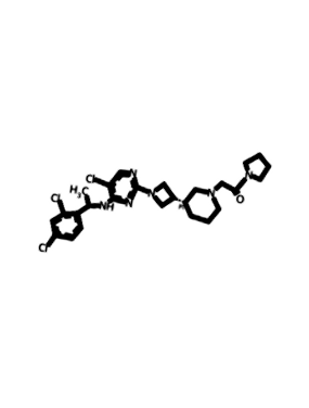 CC(Nc1nc(N2CC([C@H]3CCCN(CC(=O)N4CCCC4)C3)C2)ncc1Cl)c1ccc(Cl)cc1Cl